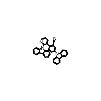 N#Cc1cc(-n2c3ccccc3c3ccccc32)ccc1-c1cccnc1-n1c2ccccc2c2ccccc21